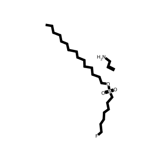 C=CCN.CCCCCCCCCCCCCCCOS(=O)(=O)CCCCCCCF